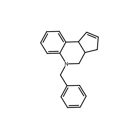 C1=CC2c3ccccc3N(Cc3ccccc3)CC2C1